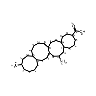 CC1CCCCC2CCC3CC(N)CC4CCCC(C(=O)O)CCC4CCC3CCCCC2CC1